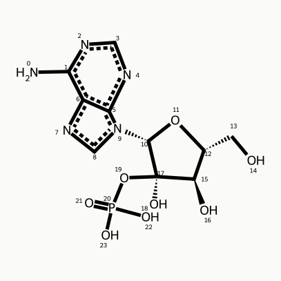 Nc1ncnc2c1ncn2[C@@H]1O[C@H](CO)[C@@H](O)[C@@]1(O)OP(=O)(O)O